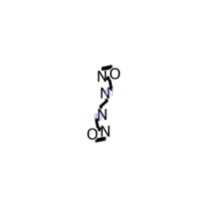 C(=N\CC/N=C/c1ncco1)/c1ncco1